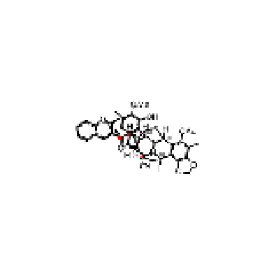 C=CCN1[C@@H]2Cc3cc(C)c(OC)c(O)c3[C@H]1C1[C@@H]3SCC(NC(=O)c4cc5ccccc5oc4=O)C(=O)OC[C@@H](c4c5c(c(C)c(OC(C)=O)c43)OCO5)N1[C@H]2C#N